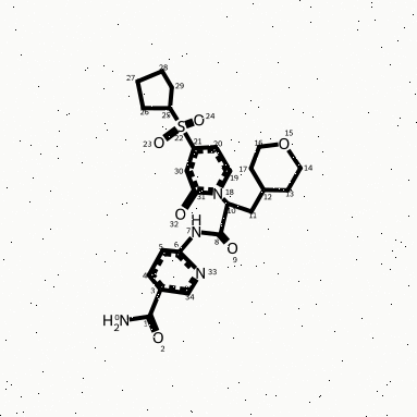 NC(=O)c1ccc(NC(=O)C(CC2CCOCC2)n2ccc(S(=O)(=O)C3CCCC3)cc2=O)nc1